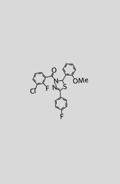 COc1ccccc1C1SC(c2ccc(F)cc2)=NN1C(=O)c1cccc(Cl)c1F